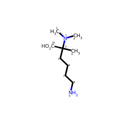 CN(C)C(C)(CCCCN)C(=O)O